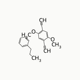 C#Cc1cc(OC)c(C#C)cc1OC.CCCc1ccccc1